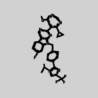 COc1ncnc(C2CC2)c1-c1ncc2c3ccc(F)cc3n(Cc3ccc(-c4nc(C(F)(F)F)cn4C(C)C)cc3)c2n1